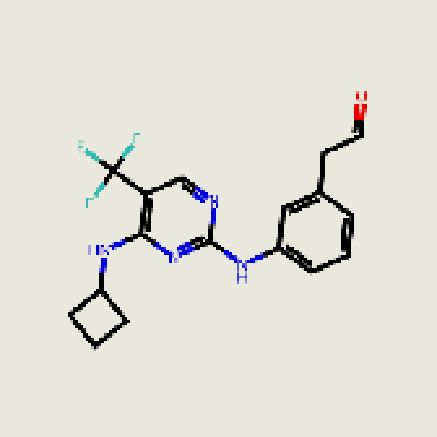 O=CCc1cccc(Nc2ncc(C(F)(F)F)c(NC3CCC3)n2)c1